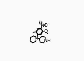 COc1cc([N+]2(C3CCNCC3)CCCCC2)c(C)cc1[N+](=O)[O-]